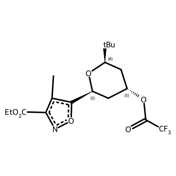 CCOC(=O)c1noc([C@@H]2C[C@@H](OC(=O)C(F)(F)F)C[C@H](C(C)(C)C)O2)c1C